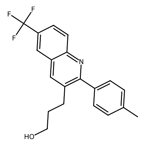 Cc1ccc(-c2nc3ccc(C(F)(F)F)cc3cc2CCCO)cc1